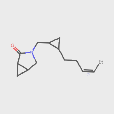 CC/C=C\CCC1CC1CN1CC2CC2C1=O